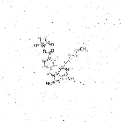 COCCCCc1nc(N)c2nc(O)n(Cc3ccc(C(=O)ON4C(=O)CCC4=O)cc3)c2n1